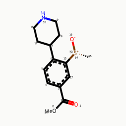 COC(=O)c1ccc(C2CCNCC2)c([S@@+](C)[O-])c1